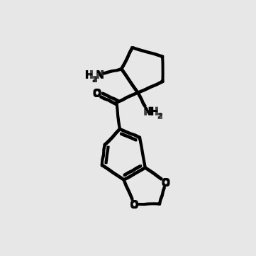 NC1CCCC1(N)C(=O)c1ccc2c(c1)OCO2